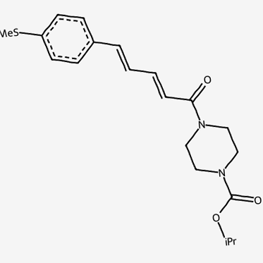 CSc1ccc(/C=C/C=C/C(=O)N2CCN(C(=O)OC(C)C)CC2)cc1